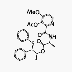 COc1ccnc(C(=O)N[C@@H](C)C(=O)O[C@@H](C)[C@H](Sc2ccccc2)c2ccccc2)c1OC(C)=O